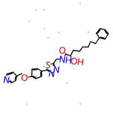 O=C(NCc1nnc(-c2ccc(OCc3ccncc3)cc2)s1)C(O)CCCCCCc1ccccc1